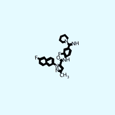 Cc1cc(C(=O)Nc2ccc(C(=N)N3CCCCC3)cc2F)n(-c2ccc3cc(F)ccc3c2)n1